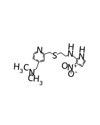 CN(C)Cc1ccnc(CSCCNc2[nH]ccc2[N+](=O)[O-])c1